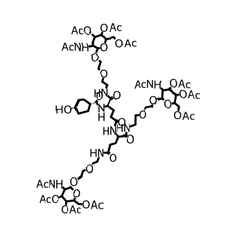 CC(=O)NC1C(OCCOCCNC(=O)CCC(NC(=O)CCC(NC(=O)[C@H]2CC[C@@H](O)CC2)C(=O)NCCOCCOC2OC(COC(C)=O)C(OC(C)=O)C(OC(C)=O)C2NC(C)=O)C(=O)NCCOCCOC2OC(COC(C)=O)C(OC(C)=O)C(OC(C)=O)C2NC(C)=O)OC(COC(C)=O)C(OC(C)=O)C1OC(C)=O